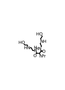 CCCC(C(=O)NCCNCCO)C(=O)NCCNCCO